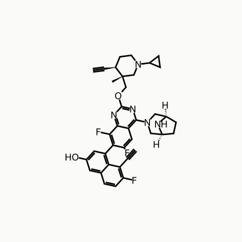 C#Cc1c(F)ccc2cc(O)cc(-c3c(F)cc4c(N5C[C@H]6CC[C@@H](C5)N6)nc(OC[C@@]5(C)CN(C6CC6)CC[C@@H]5C#C)nc4c3F)c12